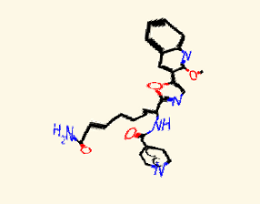 COc1nc2ccccc2cc1-c1cnc(C(CCCCCC(N)=O)NC(=O)C23CCN(CC2)CC3)o1